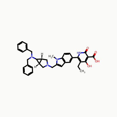 CCc1c(-c2ccc3c(c2)cc(CN2C[C@@H]4C(N(Cc5ccccc5)Cc5ccccc5)[C@@H]4C2)n3C)[nH]c(=O)c(C(=O)O)c1O